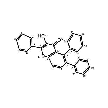 O=c1c(O)c(-c2ccccc2)oc2ccc(-c3ccccc3)c(-c3ccccc3)c12